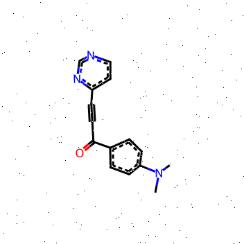 CN(C)c1ccc(C(=O)C#Cc2ccncn2)cc1